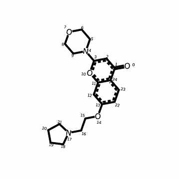 O=c1cc(N2CCOCC2)oc2cc(OCCN3CCCC3)ccc12